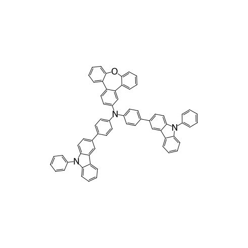 c1ccc(-n2c3ccccc3c3cc(-c4ccc(N(c5ccc(-c6ccc7c(c6)c6ccccc6n7-c6ccccc6)cc5)c5ccc6c(c5)-c5ccccc5Oc5ccccc5-6)cc4)ccc32)cc1